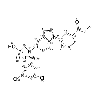 CCC(=O)c1ccnc(-n2ccc3cc(N(CC(=O)O)S(=O)(=O)c4cc(Cl)cc(Cl)c4)ccc32)c1